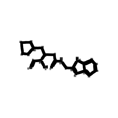 O=CN(O)C(CC(=O)NCc1nc2ccccc2[nH]1)CC1CCCC1